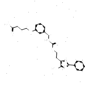 Cc1oc(-c2ccccc2)nc1CCOC(=O)NCc1cccc(OCCCC(=O)O)c1